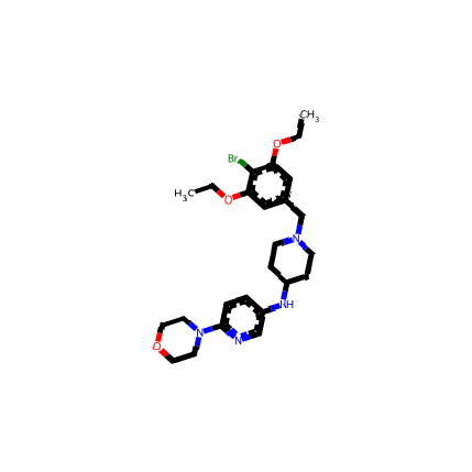 CCOc1cc(CN2CCC(Nc3ccc(N4CCOCC4)nc3)CC2)cc(OCC)c1Br